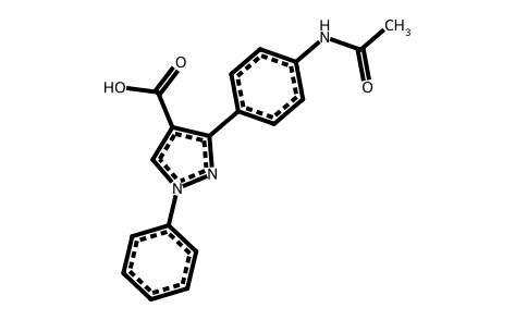 CC(=O)Nc1ccc(-c2nn(-c3ccccc3)cc2C(=O)O)cc1